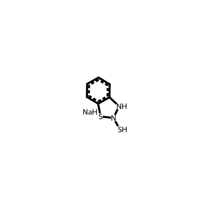 SN1Nc2ccccc2S1.[NaH]